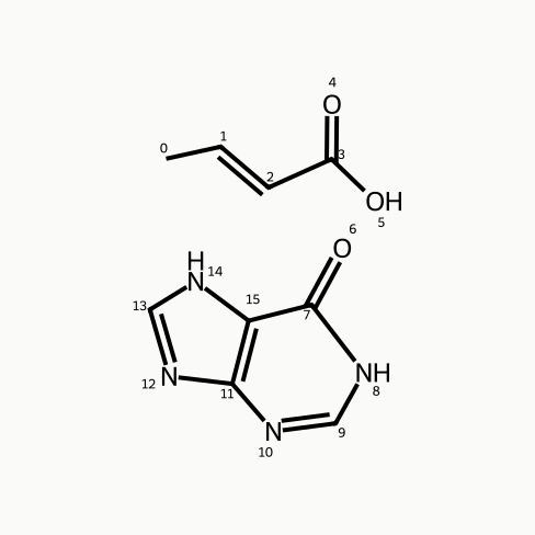 CC=CC(=O)O.O=c1[nH]cnc2nc[nH]c12